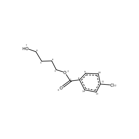 O=C(OCCCCO)c1ccc(Cl)cc1